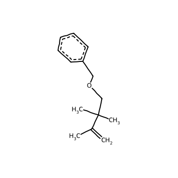 C=C(C)C(C)(C)COCc1ccccc1